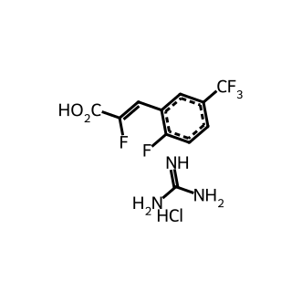 Cl.N=C(N)N.O=C(O)/C(F)=C/c1cc(C(F)(F)F)ccc1F